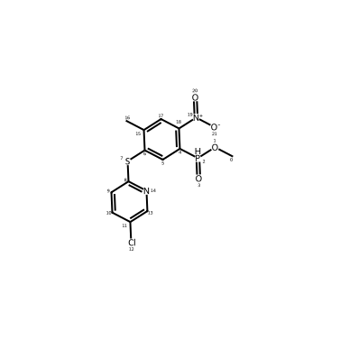 CO[PH](=O)c1cc(Sc2ccc(Cl)cn2)c(C)cc1[N+](=O)[O-]